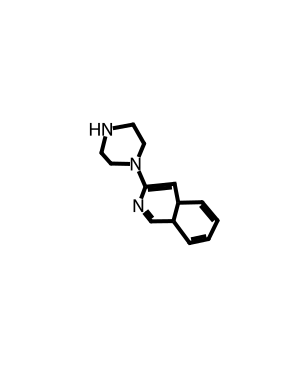 C1=CC2C=NC(N3CCNCC3)=CC2C=C1